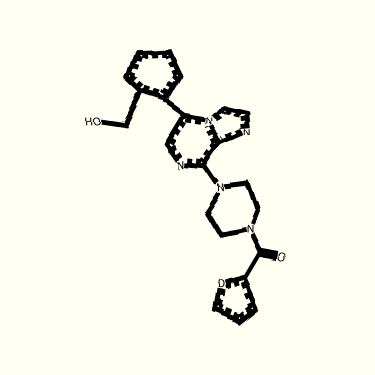 O=C(c1ccco1)N1CCN(c2ncc(-c3ccccc3CO)n3ccnc23)CC1